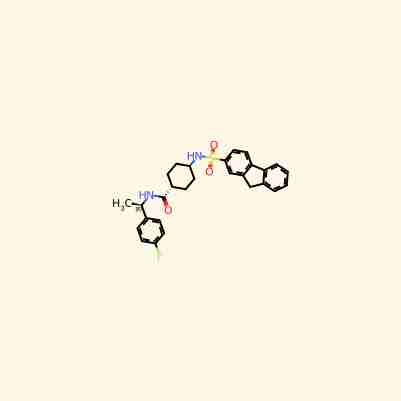 C[C@@H](NC(=O)[C@H]1CC[C@H](NS(=O)(=O)c2ccc3c(c2)Cc2ccccc2-3)CC1)c1ccc(F)cc1